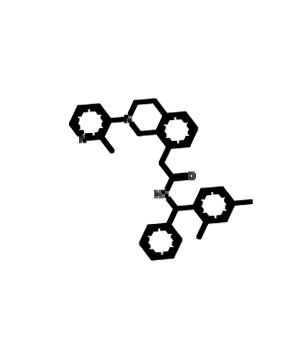 Cc1ccc(C(NC(=O)Cc2cccc3c2CN(c2cccnc2C)CC3)c2ccccc2)c(C)c1